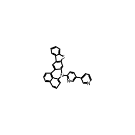 c1cncc(-c2ccc(N3c4cc5sc6ccccc6c5cc4-c4cccc5cccc3c45)nc2)c1